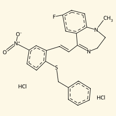 CN1CCN=C(/C=C/c2cc([N+](=O)[O-])ccc2SCc2ccccc2)c2cc(F)ccc21.Cl.Cl